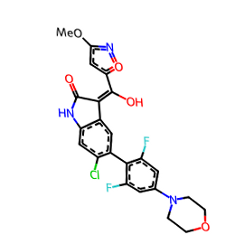 COc1cc(C(O)=C2C(=O)Nc3cc(Cl)c(-c4c(F)cc(N5CCOCC5)cc4F)cc32)on1